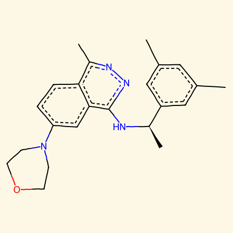 Cc1cc(C)cc([C@@H](C)Nc2nnc(C)c3ccc(N4CCOCC4)cc23)c1